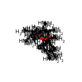 CC(C)[C@H](NC(=O)[C@H](CCCNC(=N)N)NC(=O)[C@H](CCCNC(=N)N)NC(=O)[C@@H](NC(=O)[C@H](Cc1ccccc1)NC(=O)[C@H](CCCNC(=N)N)NC(=O)[C@H](CCCNC(=N)N)NC(=O)[C@@H](NC(=O)[C@H](CCCNC(=N)N)NC(=O)[C@H](CCCNC(=N)N)NC(=O)[C@@H](NC(=O)[C@H](Cc1ccccc1)NC(=O)[C@H](CCCNC(=N)N)NC(=O)[C@@H](N)CCCNC(=N)N)C(C)C)C(C)C)C(C)C)C(=O)N[C@@H](CCCNC(=N)N)C(=O)O